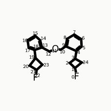 FC1CC(c2ccccc2COCc2ccccc2C2CC(F)C2)C1